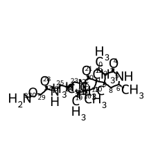 CCC1C(=O)NC(C)CC1(C)C(C)(CC(C)(C)C(C)C)C(=O)NCCCNC(=O)CON